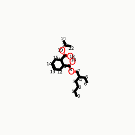 CCCCC(CC)COC(=O)C1CC=CCC1C(=O)OC(C)C